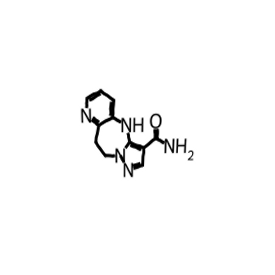 NC(=O)c1cnn2c1Nc1cccnc1CC2